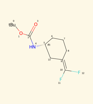 CC(C)(C)OC(=O)N[C@@H]1CCCC(=C(F)F)C1